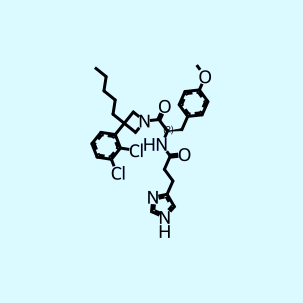 CCCCCC1(c2cccc(Cl)c2Cl)CN(C(=O)[C@@H](Cc2ccc(OC)cc2)NC(=O)CCc2c[nH]cn2)C1